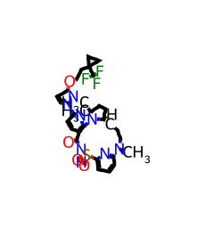 CN1CCC[C@@H]2CCC(C)(C)N2c2nc(-n3ccc(OCCC4(C(F)(F)F)CC4)n3)ccc2C(=O)NS(=O)(=O)c2cccc1n2